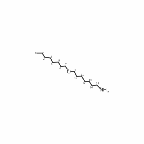 CCCCCCCCOCCCCCCCN